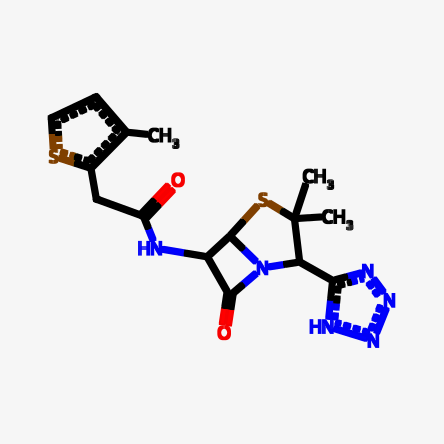 Cc1ccsc1CC(=O)NC1C(=O)N2C1SC(C)(C)C2c1nnn[nH]1